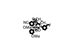 COc1ccc(OC)c(S(=O)(=O)N2C(=O)N(c3cccc(CF)c3)C(C)=C(C#N)[C@H]2c2ccc(C#N)cc2S(C)(=O)=O)c1